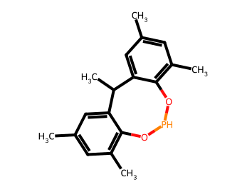 Cc1cc(C)c2c(c1)C(C)c1cc(C)cc(C)c1OPO2